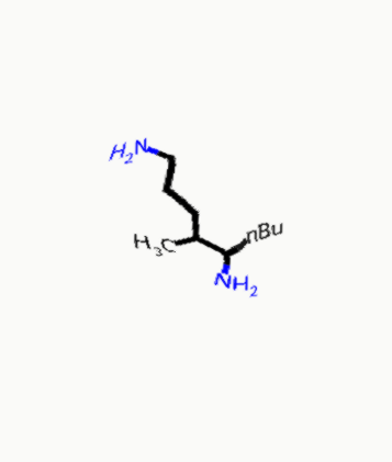 CCCCC(N)C(C)CCCN